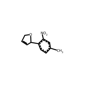 Cc1ccc(C2C=CCO2)c([N+](=O)[O-])c1